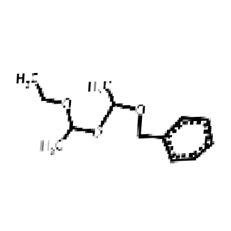 CCOC(C)OC(C)OCc1ccccc1